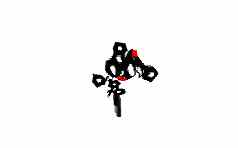 CC1(C)c2ccccc2-c2ccc(N(c3ccccc3)c3ccc4c(c3)C3(c5ccccc5-4)c4ccccc4-n4c5ccccc5c5cccc3c54)cc21